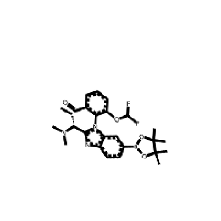 CC[C@H](c1nc2ccc(B3OC(C)(C)C(C)(C)O3)cc2n1-c1c(C=O)cccc1OC(F)F)N(C)C